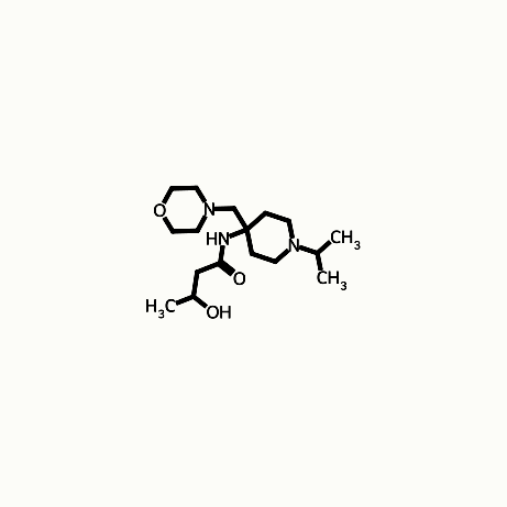 CC(O)CC(=O)NC1(CN2CCOCC2)CCN(C(C)C)CC1